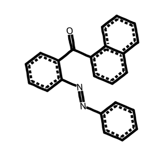 O=C(c1ccccc1N=Nc1ccccc1)c1cccc2ccccc12